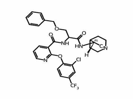 O=C(NC(COCc1ccccc1)C(=O)N[C@H]1CN2CCC1CC2)c1cccnc1Oc1ccc(C(F)(F)F)cc1Cl